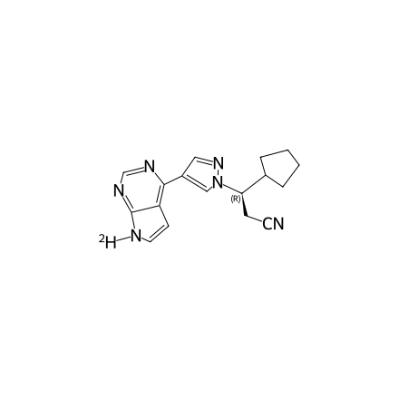 [2H]n1ccc2c(-c3cnn([C@H](CC#N)C4CCCC4)c3)ncnc21